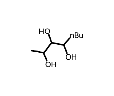 CCCCC(O)C(O)C(C)O